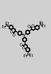 CCN(CC)c1ccc2cc(-c3ccc(N(c4ccc(-c5cc6ccc(N(CC)CC)cc6oc5=O)cc4)c4ccc(-c5cc6ccc(N(CC)CC)cc6oc5=O)cc4)cc3)c(=O)oc2c1